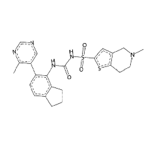 Cc1ncncc1-c1ccc2c(c1NC(=O)NS(=O)(=O)c1cc3c(s1)CCN(C)C3)CCC2